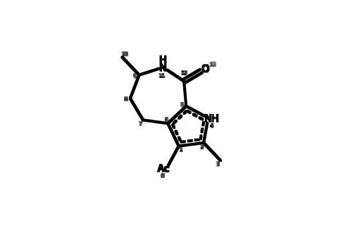 CC(=O)c1c(C)[nH]c2c1CCC(C)NC2=O